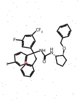 O=C(N[C@H]1CCC[C@@H]1OCc1ccccc1)N[C@@](Cc1ccccc1)(c1cc(F)cc(C(F)(F)F)c1)c1ccc(I)cn1